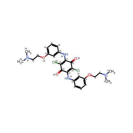 CN(C)CCOc1cccc(NC2=C(Cl)C(=O)C(Nc3cccc(OCCN(C)C)c3)=C(Cl)C2=O)c1